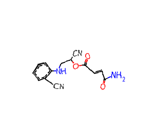 N#Cc1ccccc1NCC(C#N)OC(=O)C=CC(N)=O